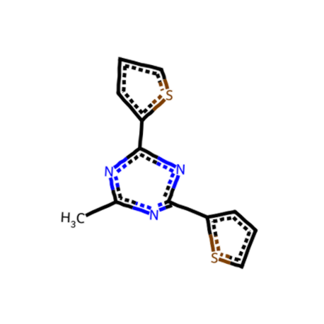 Cc1nc(-c2cccs2)nc(-c2cccs2)n1